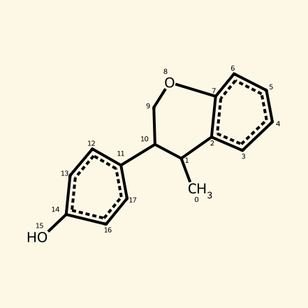 CC1c2ccccc2OCC1c1ccc(O)cc1